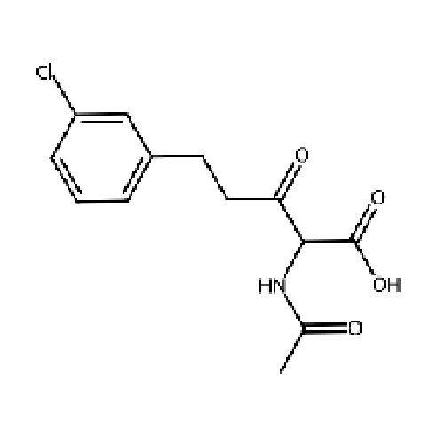 CC(=O)NC(C(=O)O)C(=O)CCc1cccc(Cl)c1